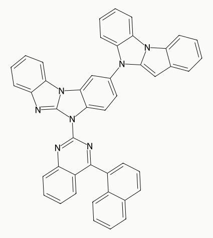 c1ccc2c(-c3nc(-n4c5ccc(-n6c7ccccc7n7c8ccccc8cc67)cc5n5c6ccccc6nc45)nc4ccccc34)cccc2c1